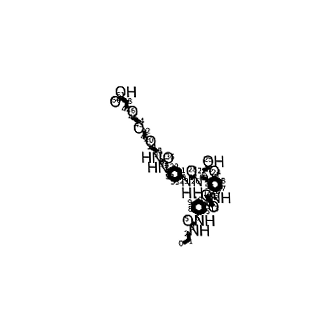 CCCNC(=O)Nc1cccc(S(=O)(=O)Nc2cccc([C@@H](CC(=O)O)NC(=O)Nc3ccc(NC(=O)NCCOCCOCCOCCC(=O)O)cc3)c2)c1